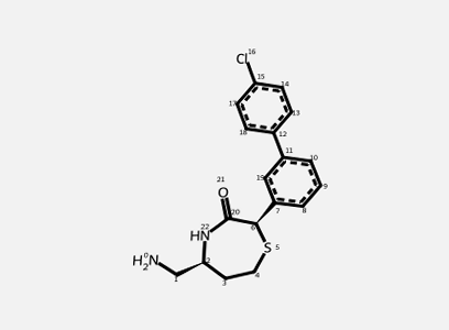 NC[C@@H]1CCS[C@H](c2cccc(-c3ccc(Cl)cc3)c2)C(=O)N1